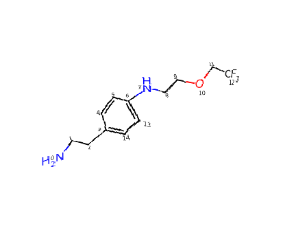 NCCc1ccc(NCCOCC(F)(F)F)cc1